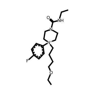 CCNC(=O)N1CC[N+](CCCCOCC)(c2ccc(F)cc2)CC1